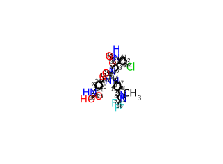 Cn1nc(C(F)(F)F)cc1-c1ccc(C[C@H](NC(=O)c2ccc(NC(=O)O)cc2)C(=O)N2CC[C@@]3(C2)OC(=O)Nc2ccc(Cl)cc23)cc1